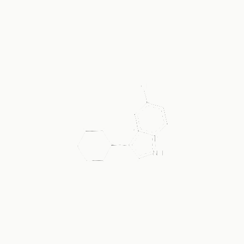 Clc1ccc2[nH]cc(C3CCCCC3)c2c1